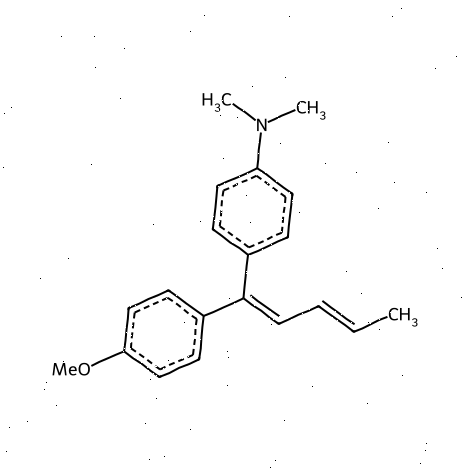 CC=CC=C(c1ccc(OC)cc1)c1ccc(N(C)C)cc1